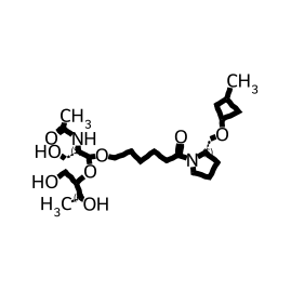 CC(=O)N[C@@H](CO)C(OCCCCCC(=O)N1CCC[C@H]1COC1CC(C)C1)OC(CO)[C@@H](C)O